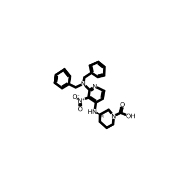 O=C(O)N1CCC[C@@H](Nc2ccnc(N(Cc3ccccc3)Cc3ccccc3)c2[N+](=O)[O-])C1